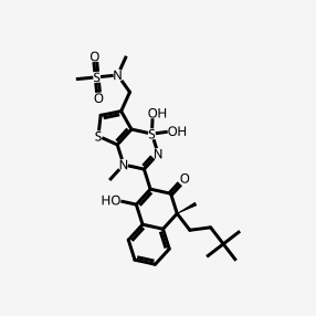 CN1C(C2=C(O)c3ccccc3[C@@](C)(CCC(C)(C)C)C2=O)=NS(O)(O)c2c(CN(C)S(C)(=O)=O)csc21